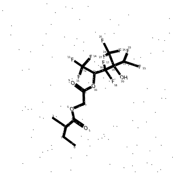 CCC(C)C(=O)OCC(=O)OC(C(F)(F)F)C(F)(F)C(O)(C(F)F)C(F)(F)F